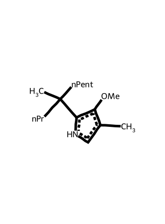 CCCCCC(C)(CCC)c1[nH]cc(C)c1OC